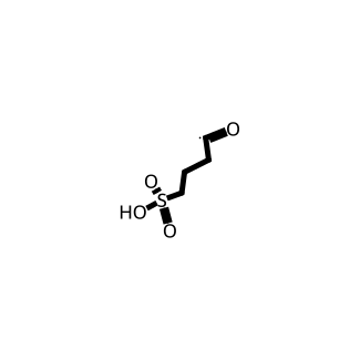 O=[C]CCCS(=O)(=O)O